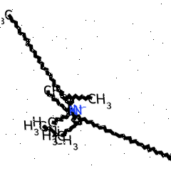 CCCCCCCCCCCCCCCCCCCCCCCCCCCCCc1cc(CCCCCC)cc(C2=C(CCCCCC)C(CCCCCCCC)=C(c3cc(CCCCCC)cc(CCCCCCCCCCCCCCCCCCCCCCCCCCCCC)c3)[N+]2=[N-])c1.CC[CH2][Ni][CH2]CC